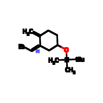 C=C1CCC(O[Si](C)(C)C(C)(C)C)C/C1=C/CC